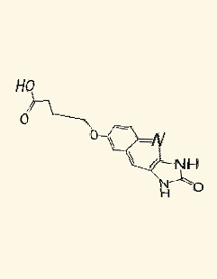 O=C(O)CCCOc1ccc2nc3[nH]c(=O)[nH]c3cc2c1